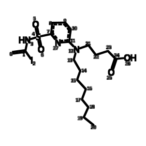 C=C(I)NS(=O)(=O)c1cccc(N(CCCCCCCC)CCCC(=O)O)n1